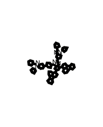 c1ccc(-c2nc3cc(-c4ccc(-c5nc(-c6ccc7c(c6)nc(-c6ccccc6)n7-c6ccccc6)nc6c(-c7ccc8c9c(cccc79)-c7ccccc7-8)cc(-c7ccc8c9c(cccc79)-c7ccccc7-8)cc56)cc4)ccc3n2-c2ccccc2)cc1